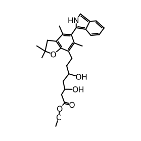 CCOC(=O)CC(O)CC(O)CCc1c(C)c(-c2[nH]cc3ccccc23)c(C)c2c1OC(C)(C)C2